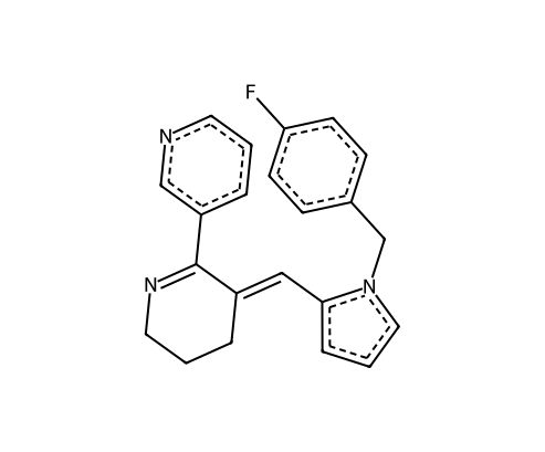 Fc1ccc(Cn2cccc2/C=C2\CCCN=C2c2cccnc2)cc1